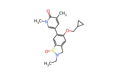 CCN1Cc2cc(OCC3CC3)c(-c3cc(C)c(=O)n(C)c3)cc2[S+]1[O-]